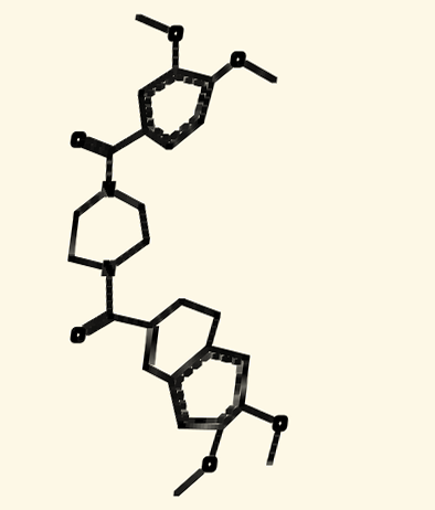 COc1ccc(C(=O)N2CCN(C(=O)C3=Cc4cc(OC)c(OC)cc4CC3)CC2)cc1OC